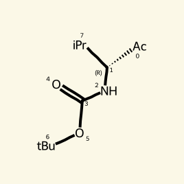 CC(=O)[C@H](NC(=O)OC(C)(C)C)C(C)C